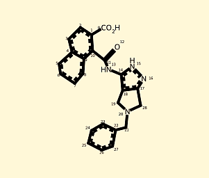 O=C(O)c1ccc2ccccc2c1C(=O)Nc1[nH]nc2c1CN(Cc1ccccc1)C2